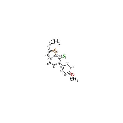 C=Cc1cc2ccc(C3=CCC(OC)CC3)c(F)c2s1